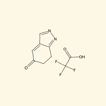 O=C(O)C(F)(F)F.O=C1C=C2C=NN=C2CC1